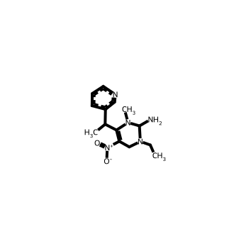 CCN1CC([N+](=O)[O-])=C(C(C)c2cccnc2)N(C)C1N